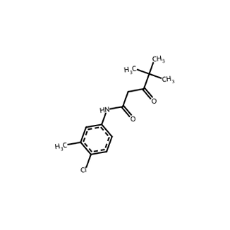 Cc1cc(NC(=O)CC(=O)C(C)(C)C)ccc1Cl